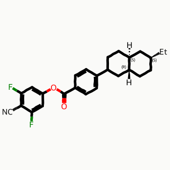 CC[C@H]1CC[C@@H]2CC(c3ccc(C(=O)Oc4cc(F)c(C#N)c(F)c4)cc3)CC[C@H]2C1